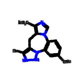 CCOC(=O)c1ncn2c1CC1=C(CC)NNN1c1cc(OC)ccc1-2